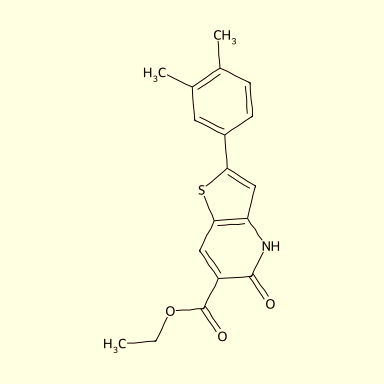 CCOC(=O)c1cc2sc(-c3ccc(C)c(C)c3)cc2[nH]c1=O